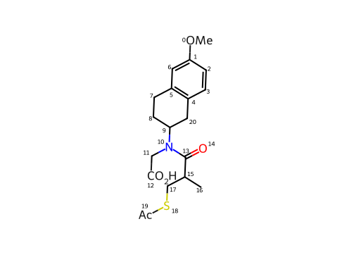 COc1ccc2c(c1)CCC(N(CC(=O)O)C(=O)C(C)CSC(C)=O)C2